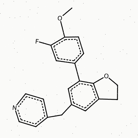 COc1ccc(-c2cc(Cc3ccncc3)cc3c2OCC3)cc1F